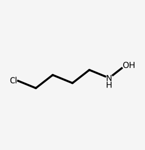 ONCCCCCl